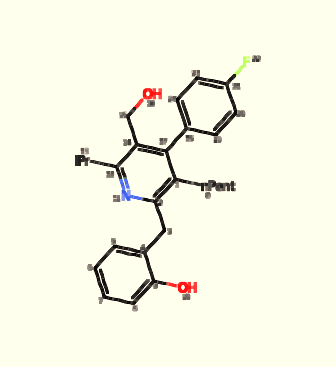 CCCCCc1c(Cc2ccccc2O)nc(C(C)C)c(CO)c1-c1ccc(F)cc1